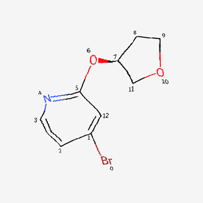 Brc1ccnc(O[C@H]2CCOC2)c1